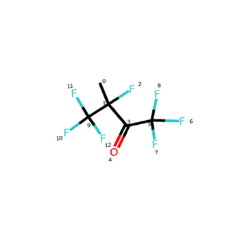 CC(F)(C(=O)C(F)(F)F)C(F)(F)F